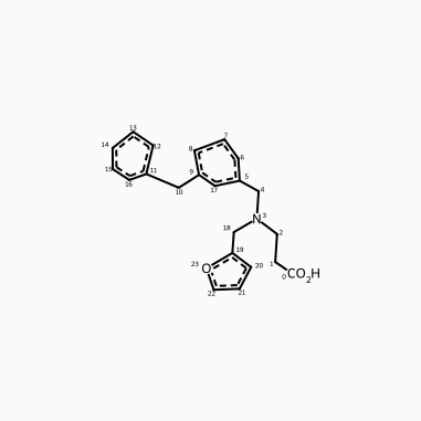 O=C(O)CCN(Cc1cccc(Cc2ccccc2)c1)Cc1ccco1